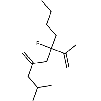 C=C(CC(C)C)CC(F)(CCCC)C(=C)C